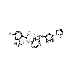 Cc1cc(F)ccc1C(C)Nc1ncnc(Nc2cc(-c3cccs3)[nH]n2)n1